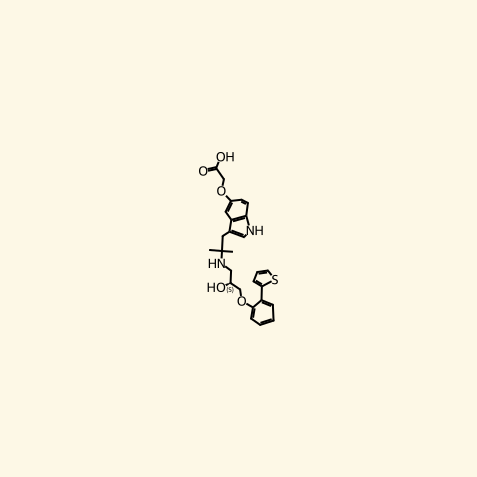 CC(C)(Cc1c[nH]c2ccc(OCC(=O)O)cc12)NC[C@H](O)COc1ccccc1-c1cccs1